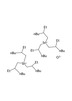 CCCCC(CC)[CH2][Sn+]([CH2]C(CC)CCCC)[CH2]C(CC)CCCC.CCCCC(CC)[CH2][Sn+]([CH2]C(CC)CCCC)[CH2]C(CC)CCCC.[O-2]